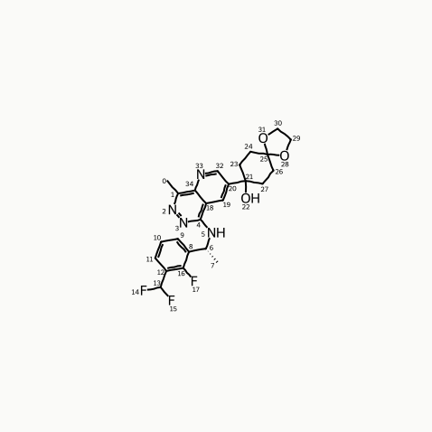 Cc1nnc(N[C@H](C)c2cccc(C(F)F)c2F)c2cc(C3(O)CCC4(CC3)OCCO4)cnc12